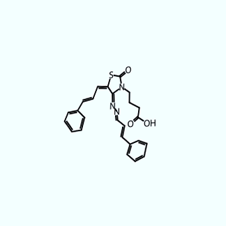 O=C(O)CCCN1C(=O)SC(=CC=Cc2ccccc2)C1=NN=CC=Cc1ccccc1